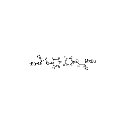 CC(C)(C)OC(=O)COc1ccc(-c2ccc(OCC(=O)OC(C)(C)C)cc2)cc1